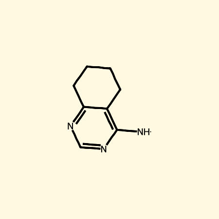 [NH]c1ncnc2c1CCCC2